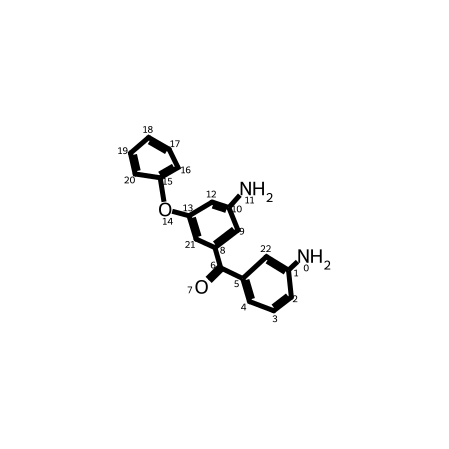 Nc1cccc(C(=O)c2cc(N)cc(Oc3ccccc3)c2)c1